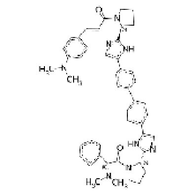 CN(C)c1ccc(C=CC(=O)N2CCC[C@H]2c2ncc(-c3ccc(-c4ccc(-c5cnc([C@@H]6CCCN6C(=O)[C@@H](c6ccccc6)N(C)C)[nH]5)cc4)cc3)[nH]2)cc1